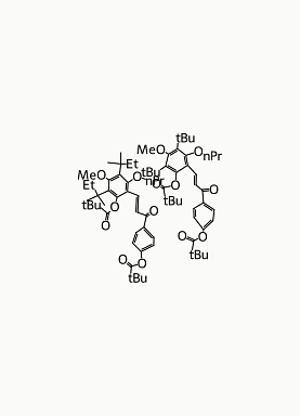 CCCOc1c(C=CC(=O)c2ccc(OC(=O)C(C)(C)C)cc2)c(OC(=O)C(C)(C)C)c(C(C)(C)C)c(OC)c1C(C)(C)C.CCCOc1c(C=CC(=O)c2ccc(OC(=O)C(C)(C)C)cc2)c(OC(=O)C(C)(C)C)c(C(C)(C)CC)c(OC)c1C(C)(C)CC